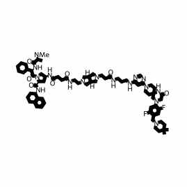 CN[C@@H](C)C(=O)N[C@H](C(=O)N1C[C@@H](NC(=O)CCC(=O)NCCN2C[C@@H]3CN(CCC(=O)NCCCNc4cc(N5CCC6(CC5)CN(c5cc(F)c(CN7CCC(C)(C)CC7)cc5F)CC(=O)N6)ncn4)C[C@@H]3C2)C[C@H]1C(=O)N[C@@H]1CCCc2ccccc21)C1CCCCC1